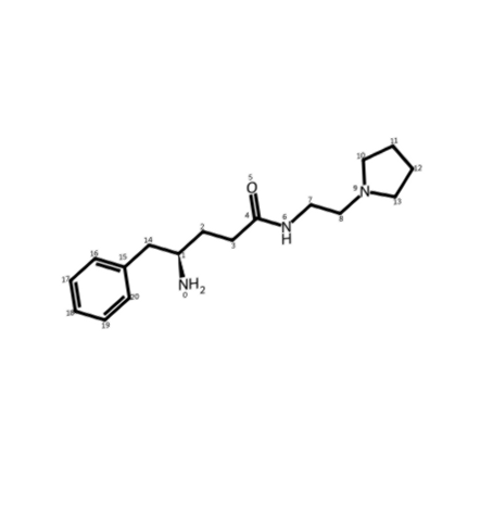 N[C@H](CCC(=O)NCCN1CCCC1)Cc1ccccc1